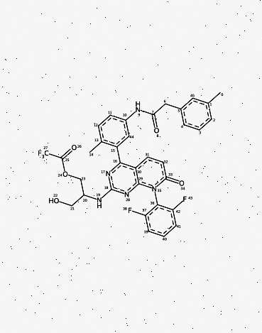 Cc1cccc(CC(=O)Nc2ccc(C)c(-c3nc(NC(CO)COC(=O)C(F)(F)F)nc4c3ccc(=O)n4-c3c(F)cccc3F)c2)c1